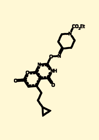 CCOC(=O)N1CCC(=NOc2nc3oc(=O)cc(CCC4CC4)c3c(=O)[nH]2)CC1